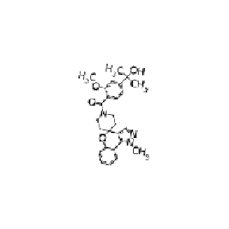 COc1cc(C(C)(C)O)ccc1C(=O)N1CCC2(CC1)Oc1ccccc1-c1c2cnn1C